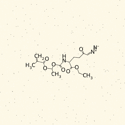 C=C(C)C(=O)OC(C)OC(=O)NC(CCC(=O)C=[N+]=[N-])C(=O)OCC